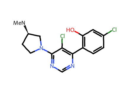 CN[C@@H]1CCN(c2ncnc(-c3ccc(Cl)cc3O)c2Cl)C1